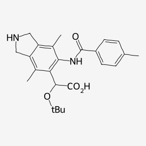 Cc1ccc(C(=O)Nc2c(C)c3c(c(C)c2C(OC(C)(C)C)C(=O)O)CNC3)cc1